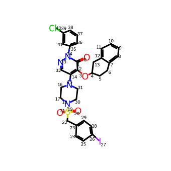 O=c1c(OC2CCc3ccccc3C2)c(N2CCN(S(=O)(=O)Cc3ccc(I)cc3)CC2)cnn1-c1cccc(Cl)c1